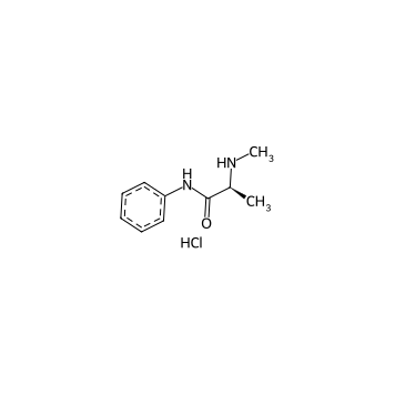 CN[C@@H](C)C(=O)Nc1ccccc1.Cl